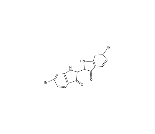 O=C1c2ccc(Br)cc2NC1C1Nc2cc(Br)ccc2C1=O